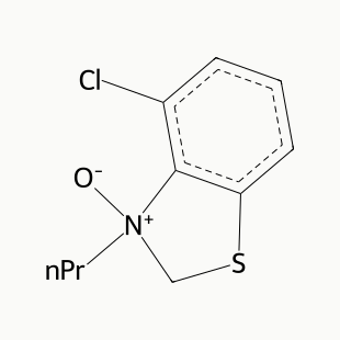 CCC[N+]1([O-])CSc2cccc(Cl)c21